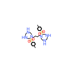 Cc1ccc(S(=O)(=O)C2CNCCNCCN2CCCCN2CCNCCNCC2S(=O)(=O)c2ccc(C)cc2)cc1